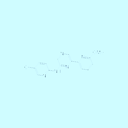 COc1cccc(-c2cncc(Nc3ccc(Cl)cn3)n2)n1